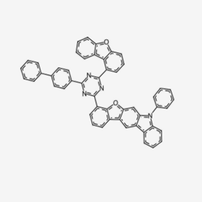 c1ccc(-c2ccc(-c3nc(-c4cccc5c4oc4cc6c(cc45)c4ccccc4n6-c4ccccc4)nc(-c4cccc5oc6ccccc6c45)n3)cc2)cc1